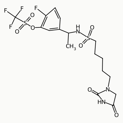 CC(NS(=O)(=O)CCCCCN1CC(=O)NC1=O)c1ccc(F)c(OS(=O)(=O)C(F)(F)F)c1